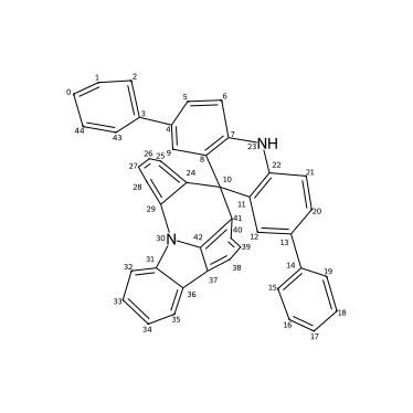 c1ccc(-c2ccc3c(c2)C2(c4cc(-c5ccccc5)ccc4N3)c3ccccc3-n3c4ccccc4c4cccc2c43)cc1